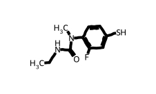 CCNC(=O)N(C)c1ccc(S)cc1F